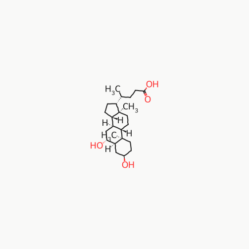 CC(CCC(=O)O)[C@H]1CC[C@H]2[C@@H]3C[C@@H](O)[C@@H]4C[C@H](O)CC[C@]4(C)[C@H]3CC[C@]12C